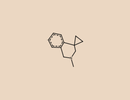 CN1Cc2c[c]ccc2C2(CC2)C1